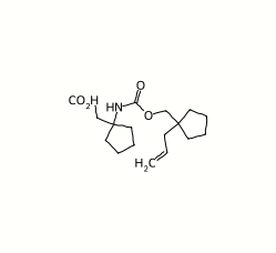 C=CCC1(COC(=O)NC2(CC(=O)O)CCCC2)CCCC1